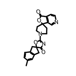 Cc1ccc2c(c1)CC1(C2)OC(N2CCC3(CC2)OC(=O)c2ccncc23)=NC1=O